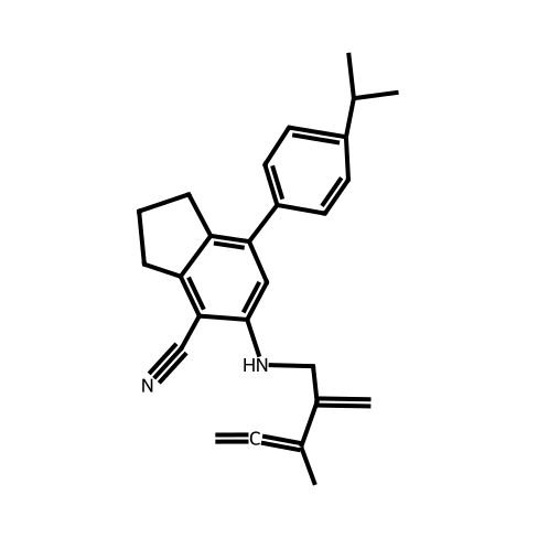 C=C=C(C)C(=C)CNc1cc(-c2ccc(C(C)C)cc2)c2c(c1C#N)CCC2